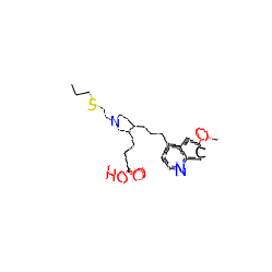 CCCSCCN1CCC(CCCc2ccnc3ccc(OC)cc23)C(CCC(=O)O)C1